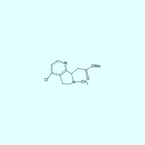 COC(=O)CC1c2nccc(Cl)c2CCN1C